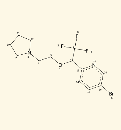 FC(F)(F)C(OCCN1CCCC1)c1ccc(Br)cn1